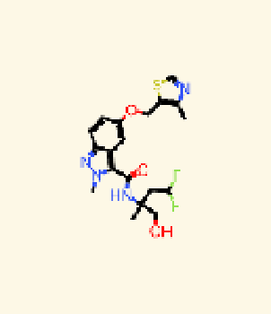 Cc1ncsc1COc1ccc2nn(C)c(C(=O)NC(C)(CO)CC(F)F)c2c1